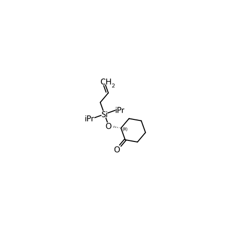 C=CC[Si](O[C@@H]1CCCCC1=O)(C(C)C)C(C)C